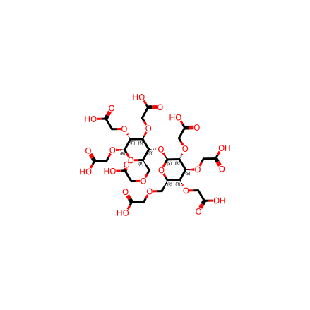 O=C(O)COC[C@H]1O[C@@H](O[C@H]2[C@H](OCC(=O)O)[C@@H](OCC(=O)O)[C@H](OCC(=O)O)O[C@@H]2COCC(=O)O)[C@H](OCC(=O)O)[C@@H](OCC(=O)O)[C@@H]1OCC(=O)O